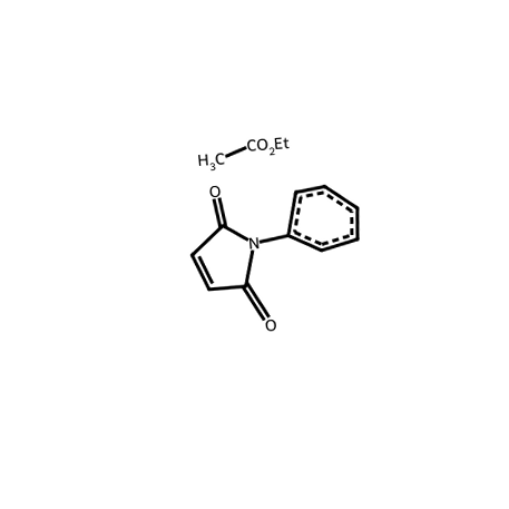 CCOC(C)=O.O=C1C=CC(=O)N1c1ccccc1